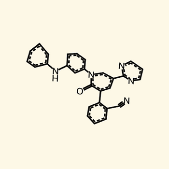 N#Cc1ccccc1-c1cc(-c2ncccn2)cn(-c2cccc(Nc3ccccc3)c2)c1=O